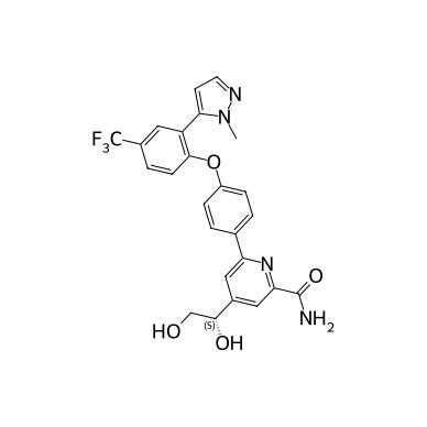 Cn1nccc1-c1cc(C(F)(F)F)ccc1Oc1ccc(-c2cc([C@H](O)CO)cc(C(N)=O)n2)cc1